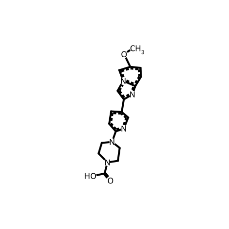 COc1ccc2nc(-c3ccc(N4CCN(C(=O)O)CC4)nc3)cn2c1